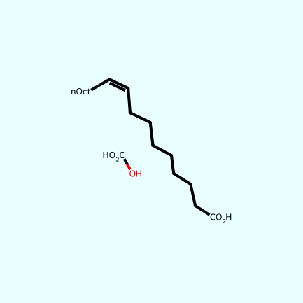 CCCCCCCC/C=C\CCCCCCCC(=O)O.O=C(O)O